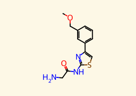 COCc1cccc(-c2csc(NC(=O)CN)n2)c1